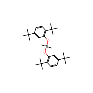 CC(C)(C)c1ccc(C(C)(C)C)c([O][Ti]([CH3])([CH3])[O]c2cc(C(C)(C)C)ccc2C(C)(C)C)c1